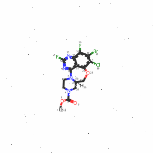 CC(C)(C)OC(=O)N1CCN2c3nc(F)nc4c(F)c(Br)c(Cl)c(c34)OC[C@H]2C1